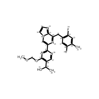 COCOc1nc(-c2cn3ccnc3c(Cc3cc(F)c(C)cc3F)n2)ncc1C(C)O